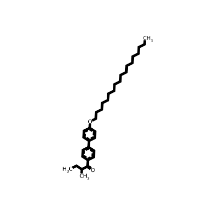 CCCCCCCCCCCCCCCCCCOc1ccc(-c2ccc(C(=O)C(C)CC)cc2)cc1